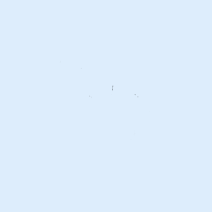 O=C1NC[C@H]2CN(Cc3ccccc3)CC2c2ccc(F)cc21